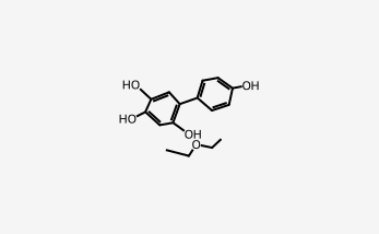 CCOCC.Oc1ccc(-c2cc(O)c(O)cc2O)cc1